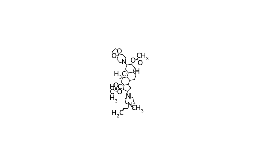 C=CC[N+]1(C)CCN([C@H]2CC3C4CC[C@H]5C[C@H](OC(C)=O)[C@@H](N6CCC7(CC6)OCCO7)C[C@]5(C)C4CC[C@]3(C)[C@H]2OC(C)=O)CC1